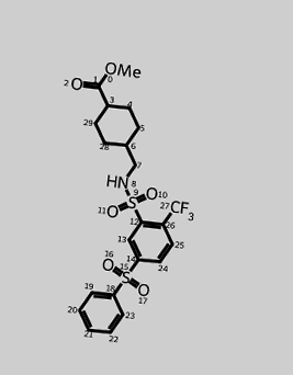 COC(=O)C1CCC(CNS(=O)(=O)c2cc(S(=O)(=O)c3ccccc3)ccc2C(F)(F)F)CC1